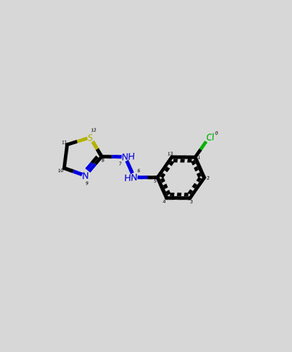 Clc1cccc(NNC2=NCCS2)c1